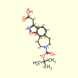 CC(C)(C)OC(=O)N1CCc2ccc3c(CC(=O)O)noc3c2CC1